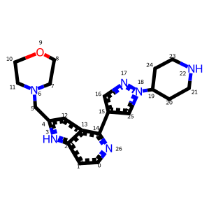 c1cc2[nH]c(CN3CCOCC3)cc2c(-c2cnn(C3CCNCC3)c2)n1